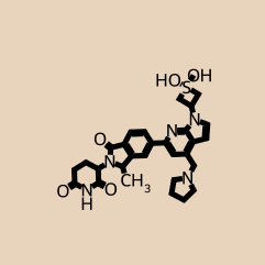 CC1c2cc(-c3cc(CN4CCCC4)c4ccn(C5CS(O)(O)C5)c4n3)ccc2C(=O)N1C1CCC(=O)NC1=O